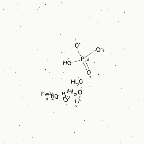 O.O.O.O=P([O-])([O-])O.[Fe+2].[Li+].[OH-]